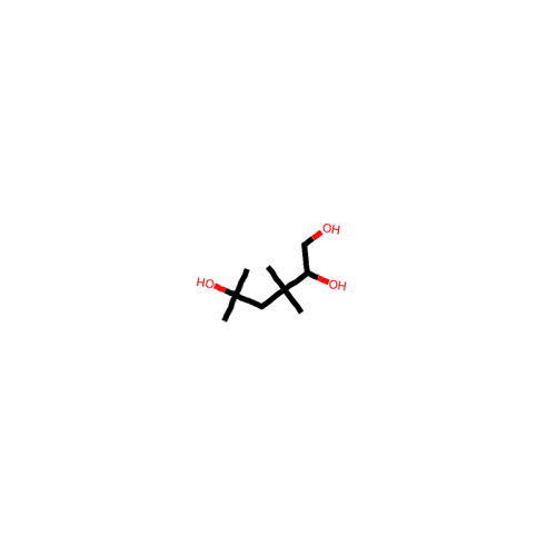 CC(C)(O)CC(C)(C)C(O)CO